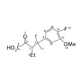 CCC(C(=O)C(=O)O)C(C)(C)c1ccc(F)c(OC)c1